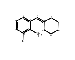 Nc1c(F)cccc1C=C1CCCCC1